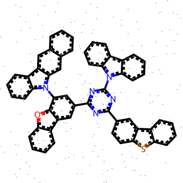 c1ccc2cc3c(cc2c1)c1ccccc1n3-c1cc(-c2nc(-c3ccc4sc5ccccc5c4c3)nc(-n3c4ccccc4c4ccccc43)n2)cc2c1oc1ccccc12